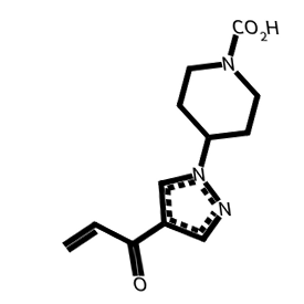 C=CC(=O)c1cnn(C2CCN(C(=O)O)CC2)c1